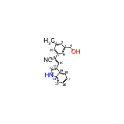 Cc1cc(CO)cc(/C(C#N)=C/c2c[nH]c3ccccc23)c1